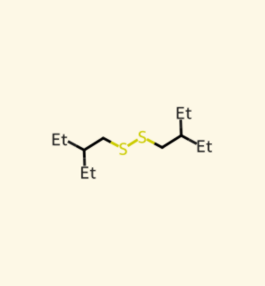 CCC(CC)CSSCC(CC)CC